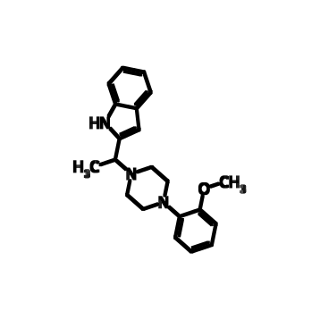 COc1ccccc1N1CCN(C(C)c2cc3ccccc3[nH]2)CC1